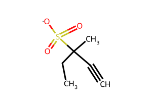 C#CC(C)(CC)S([O])(=O)=O